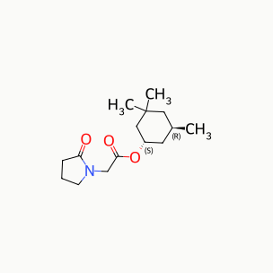 C[C@H]1C[C@H](OC(=O)CN2CCCC2=O)CC(C)(C)C1